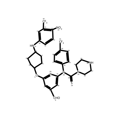 O=Cc1cc(OC2CCC(Nc3ccc([N+](=O)[O-])c(C(F)(F)F)c3)CC2)nc(N(C(=S)N2CCNCC2)c2ccc(C(F)(F)F)cc2)c1